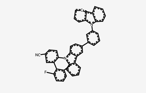 N#Cc1ccc(-n2c3ccccc3c3cc(-c4cccc(-n5c6ccccc6c6ccccc65)c4)ccc32)c(-c2c(F)cccc2F)c1